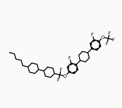 CCCCCC1CCC(C2CCC(C(F)(F)Oc3ccc(C4CCC(c5ccc(OC(F)(F)F)c(F)c5)CC4)c(F)c3)CC2)CC1